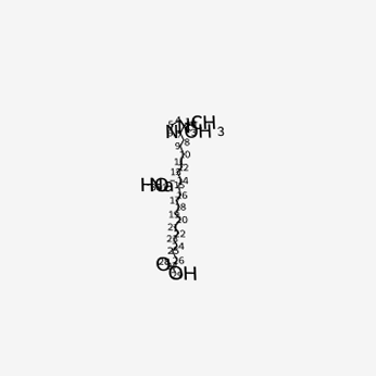 CC[N+]1(O)CCN=C1CCCCCCCCCCCCCCCCCCCC(=O)O.[Na].[OH-]